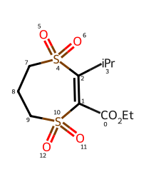 CCOC(=O)C1=C(C(C)C)S(=O)(=O)CCCS1(=O)=O